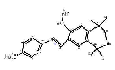 CCCOc1cc2c(cc1/C=C/c1ccc(C(=O)O)cc1)C(C)(C)CCC2(C)C